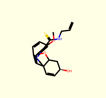 C=CCNC(=S)N1CCC23C=C[C@H](O)CC2Oc2c(OC)ccc(c23)C1